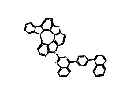 c1ccc2c(-c3ccc(-c4nc(-n5c6ccc7oc8ccc9c%10ccccc%10n%10c%11cccc5c%11c6c7c8c9%10)nc5ccccc45)cc3)cccc2c1